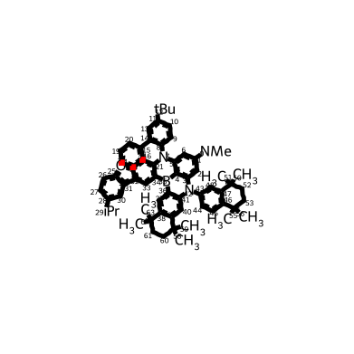 CNc1cc2c3c(c1)N(c1ccc(C(C)(C)C)cc1-c1ccccc1)c1cc4oc5ccc(C(C)C)cc5c4cc1B3c1cc3c(cc1N2c1ccc2c(c1)C(C)(C)CCC2(C)C)C(C)(C)CCC3(C)C